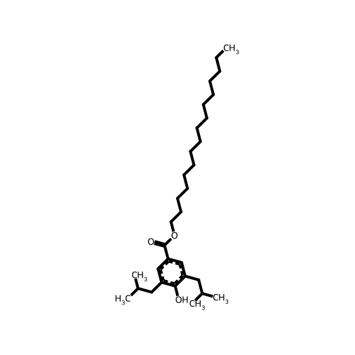 CCCCCCCCCCCCCCCCOC(=O)c1cc(CC(C)C)c(O)c(CC(C)C)c1